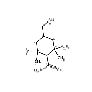 COC(=O)C1C(C)(C)CC(CO)CC1(C)C